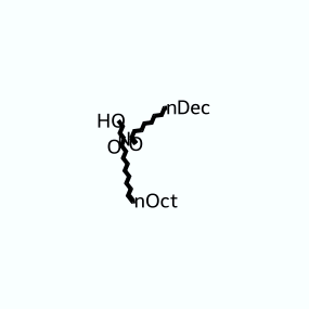 CCCCCCCC/C=C\CCCCCCCC(=O)N(CCO)C(=O)CCCCCCCCCCCCCCCCC